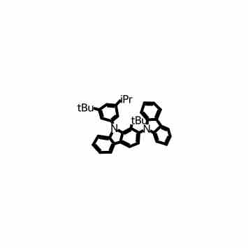 CC(C)c1cc(-n2c3ccccc3c3ccc(-n4c5ccccc5c5ccccc54)c(C(C)(C)C)c32)cc(C(C)(C)C)c1